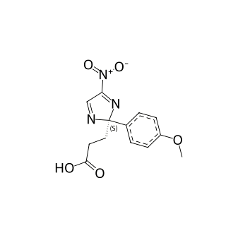 COc1ccc([C@@]2(CCC(=O)O)N=CC([N+](=O)[O-])=N2)cc1